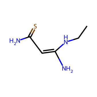 CCN/C(N)=C\C(N)=S